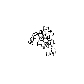 CC(C)[C@@H]1CC[C@]2(NCCN3CCS(=O)(=O)CC3)CC[C@]3(C)[C@H](CC[C@@H]4[C@@]5(C)CC=C(CCCCC(=O)O)C(C)(C)[C@@H]5CC[C@]43C)[C@@H]12